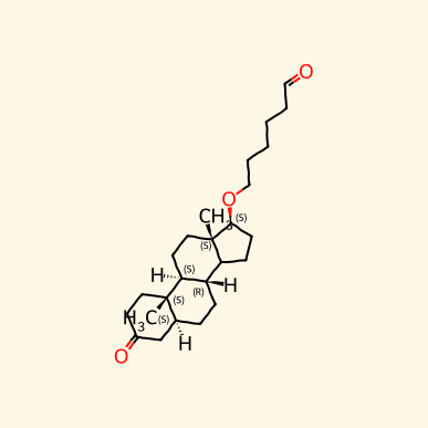 C[C@]12CCC(=O)C[C@@H]1CC[C@H]1C3CC[C@H](OCCCCCC=O)[C@@]3(C)CC[C@@H]12